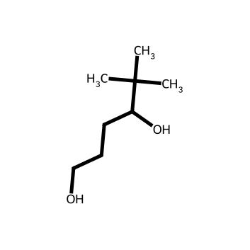 CC(C)(C)C(O)CCCO